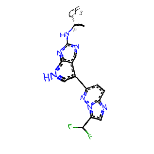 C[C@H](Nc1ncc2c(-c3ccc4ncc(C(F)F)n4n3)c[nH]c2n1)C(F)(F)F